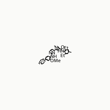 CCc1cc(C)cc(CC)c1NC(=O)c1cc(-c2ccnc(Nc3ccc(N4CCN(C)CC4)cc3OC)n2)n(C)c1